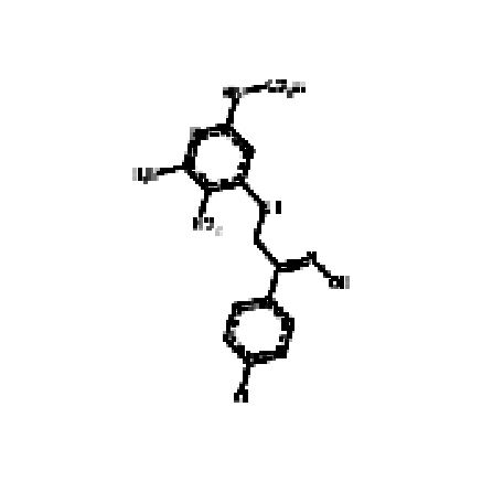 CCOC(=O)Nc1cc(NCC(=NO)c2ccc(Cl)cc2)c([N+](=O)[O-])c(N)n1